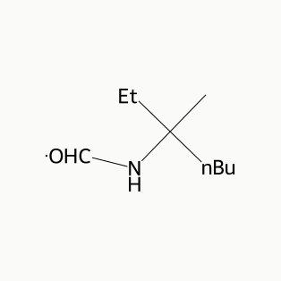 CCCCC(C)(CC)N[C]=O